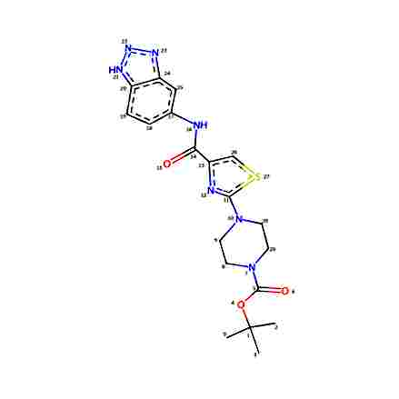 CC(C)(C)OC(=O)N1CCN(c2nc(C(=O)Nc3ccc4[nH]nnc4c3)cs2)CC1